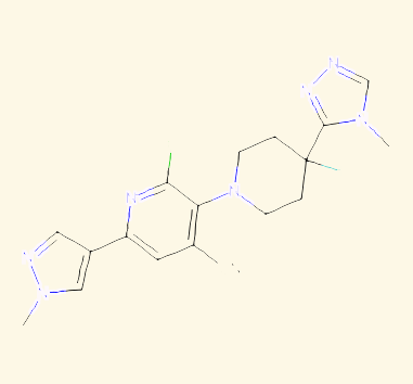 Cn1cc(-c2cc(C#N)c(N3CCC(F)(c4nncn4C)CC3)c(Cl)n2)cn1